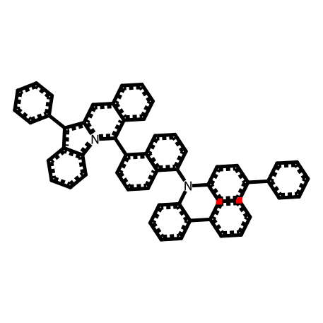 c1ccc(-c2ccc(N(c3ccccc3-c3ccccc3)c3cccc4c(-c5c6ccccc6cc6c(-c7ccccc7)c7ccccc7n56)cccc34)cc2)cc1